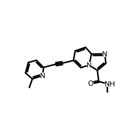 CNC(=O)c1cnc2ccc(C#Cc3cccc(C)n3)cn12